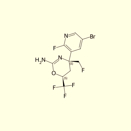 NC1=N[C@](CF)(c2cc(Br)cnc2F)C[C@@H](C(F)(F)F)O1